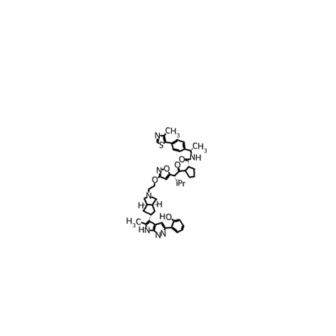 Cc1ncsc1-c1ccc([C@H](C)NC(=O)[C@@H]2CCCC2C(=O)[C@@H](c2cc(OCCN3C[C@H]4C[C@H](c5c(C)[nH]c6nnc(-c7ccccc7O)cc56)C[C@H]4C3)no2)C(C)C)cc1